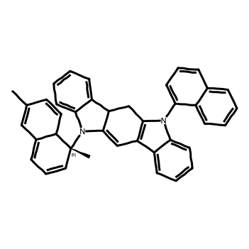 CC1=CC2=CC=C[C@@](C)(N3C4=Cc5c(n(-c6cccc7ccccc67)c6ccccc56)CC4c4ccccc43)C2C=C1